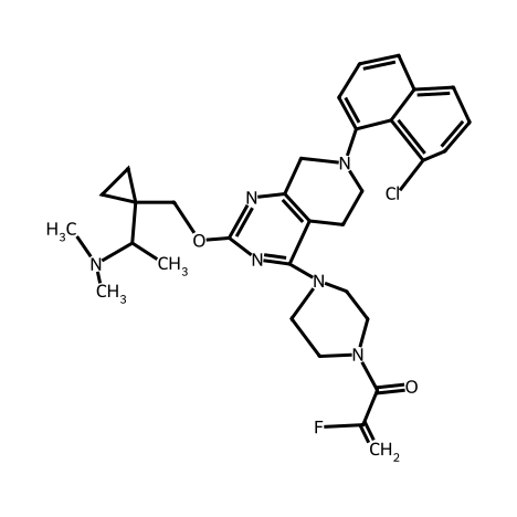 C=C(F)C(=O)N1CCN(c2nc(OCC3(C(C)N(C)C)CC3)nc3c2CCN(c2cccc4cccc(Cl)c24)C3)CC1